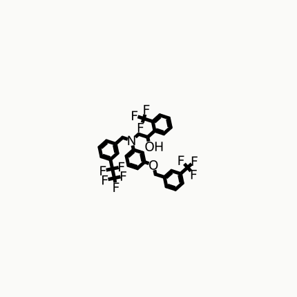 OC(CN(Cc1cccc(C(F)(F)C(F)(F)F)c1)c1cccc(OCc2cccc(C(F)(F)F)c2)c1)c1ccccc1C(F)(F)F